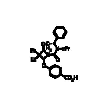 CCCN(C(=O)N1C(=O)C(CC)(CC)[C@@H]1Oc1ccc(C(=O)O)cc1)[C@H](C)c1ccccc1